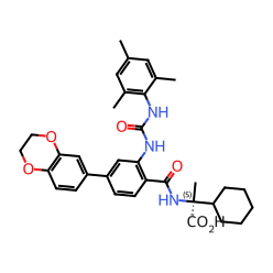 Cc1cc(C)c(NC(=O)Nc2cc(-c3ccc4c(c3)OCCO4)ccc2C(=O)N[C@](C)(C(=O)O)C2CCCCC2)c(C)c1